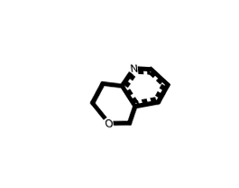 [c]1ccc2c(n1)CCOC2